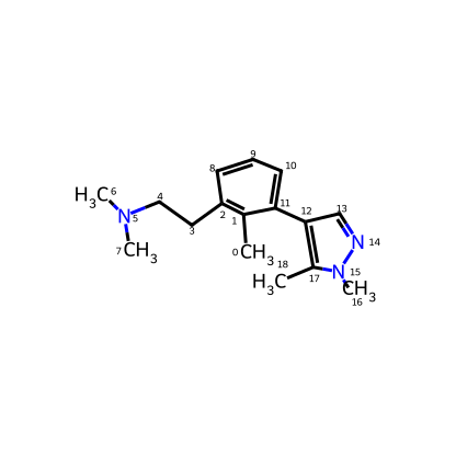 Cc1c(CCN(C)C)cccc1-c1cnn(C)c1C